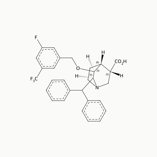 O=C(O)[C@@H]1CN2CC[C@H]1[C@H](OCc1cc(F)cc(C(F)(F)F)c1)[C@@H]2C(c1ccccc1)c1ccccc1